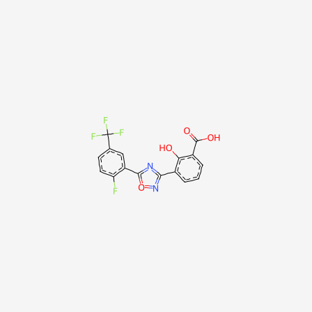 O=C(O)c1cccc(-c2noc(-c3cc(C(F)(F)F)ccc3F)n2)c1O